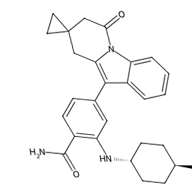 NC(=O)c1ccc(-c2c3n(c4ccccc24)C(=O)CC2(CC2)C3)cc1N[C@H]1CC[C@H](O)CC1